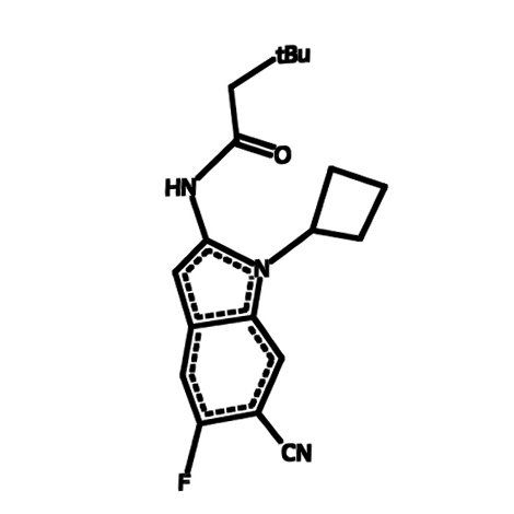 CC(C)(C)CC(=O)Nc1cc2cc(F)c(C#N)cc2n1C1CCC1